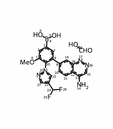 COc1cc(B(O)O)cc(-c2ccc3c(N)cnnc3c2)c1-n1cc(C(F)F)cn1.O=CO